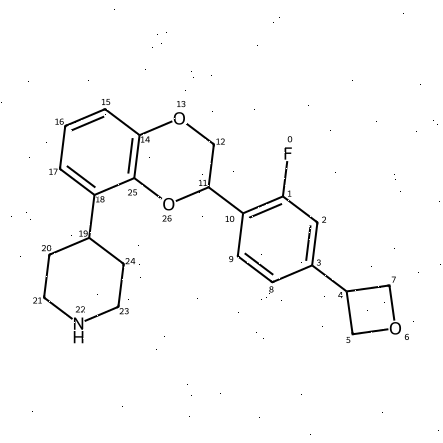 Fc1cc(C2COC2)ccc1C1COc2cccc(C3CCNCC3)c2O1